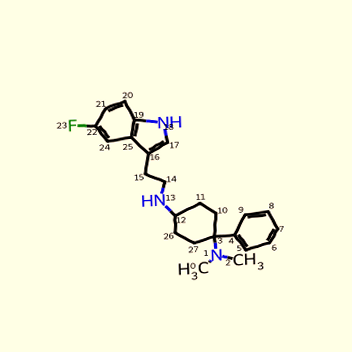 CN(C)C1(c2ccccc2)CCC(NCCc2c[nH]c3ccc(F)cc23)CC1